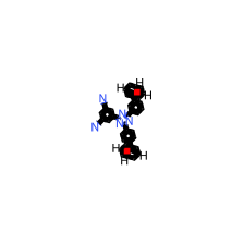 N#Cc1cc(C#N)cc(-c2nc(-c3ccc(C45C[C@H]6C[C@@H](C4)C[C@@H](C5)C6)cc3)nc(-c3cccc(C45C[C@H]6C[C@@H](C4)C[C@@H](C5)C6)c3)n2)c1